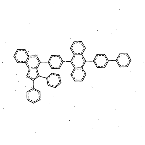 c1ccc(-c2ccc(-c3c4ccccc4c(-c4ccc(-c5nc6ccccc6c6sc(-c7cccnc7)c(-c7cccnc7)c56)cc4)c4ccccc34)cc2)cc1